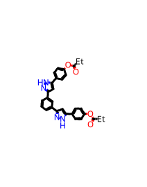 CCC(=O)Oc1ccc(-c2cc(-c3cccc(-c4cc(-c5ccc(OC(=O)CC)cc5)[nH]n4)c3)n[nH]2)cc1